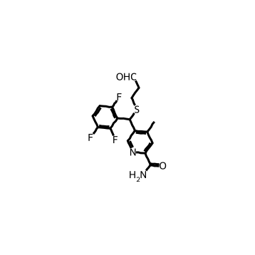 Cc1cc(C(N)=O)ncc1C(SCCC=O)c1c(F)ccc(F)c1F